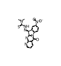 CN(C)C(=S)N/N=C1\c2cc([N+](=O)[O-])ccc2-n2c1nc1ncccc1c2=O